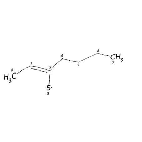 CC=C([S])CCCC